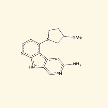 CNC1CCN(c2ccnc3[nH]c4cnc(N)cc4c23)C1